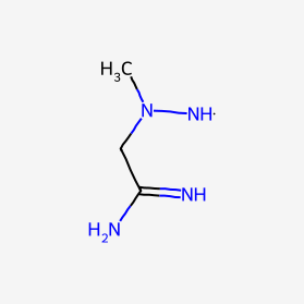 CN([NH])CC(=N)N